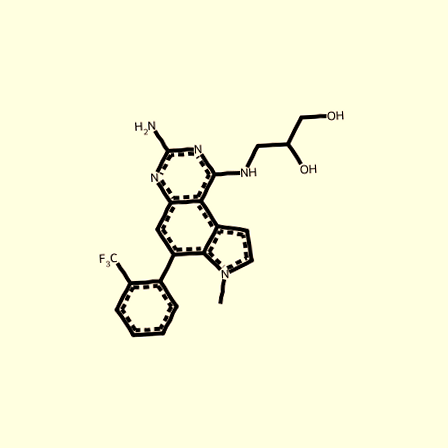 Cn1ccc2c3c(NCC(O)CO)nc(N)nc3cc(-c3ccccc3C(F)(F)F)c21